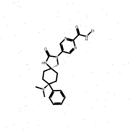 CCNC(=O)c1ncc(N2C[C@]3(CC[C@](c4ccccc4)(N(C)C)CC3)NC2=O)cn1